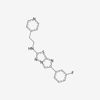 Fc1cccc(-c2cn3nc(NCCc4ccncc4)sc3n2)c1